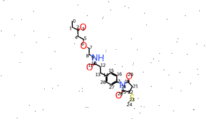 CCC(=O)CCOCCNC(=O)CCc1ccc(N2C(=O)CC(SC)C2=O)cc1